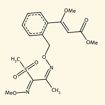 CON=C(C(C)=NOCc1ccccc1C(=CC(=O)OC)OC)S(C)(=O)=O